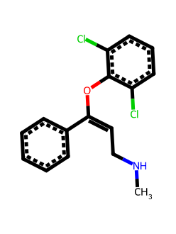 CNCC=C(Oc1c(Cl)cccc1Cl)c1ccccc1